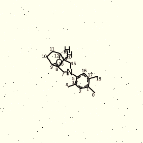 Cc1cc(C)c(N2CC3=C4CC[C@H](O4)[C@@H]3C2)cc1C